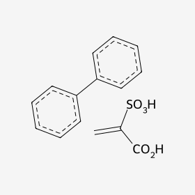 C=C(C(=O)O)S(=O)(=O)O.c1ccc(-c2ccccc2)cc1